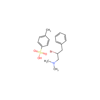 CN(C)CC(Br)Cc1ccccc1.Cc1ccc(S(=O)(=O)O)cc1